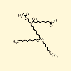 CCCCCCCCOC(CCCCCCN(CCOC(C)=O)C(C)CCCCCCC(=O)O)OCCCCCCCC